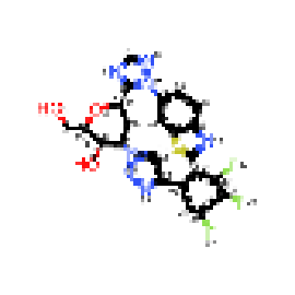 OC[C@H]1O[C@@H](c2ncnn2-c2ccc3ncsc3c2)C[C@@H](n2cc(-c3cc(F)c(F)c(F)c3)nn2)[C@H]1O